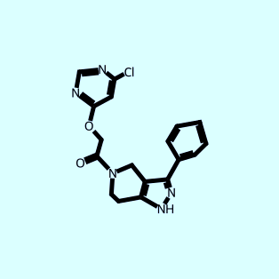 O=C(COc1cc(Cl)ncn1)N1CCc2[nH]nc(-c3ccccc3)c2C1